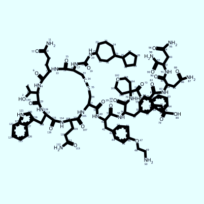 CC(O)C1NC(=O)C(CCC(N)=O)NC(=O)C(NC(=O)NC2CCCC(C3CCCC3)CC2)CCSCC(C(=O)NC(Cc2ccc(OCCN)cc2)C(=O)NC(Cc2ccc3ccccc3c2)C(=O)NC2(C(=O)NC(CCC(=O)O)C(=O)NC(CC(N)=O)C(=O)NC(CC(N)=O)C(N)=O)CCOCC2)NC(=O)C(CCC(N)=O)NC(=O)C(Cc2c[nH]c3ccccc23)NC1=O